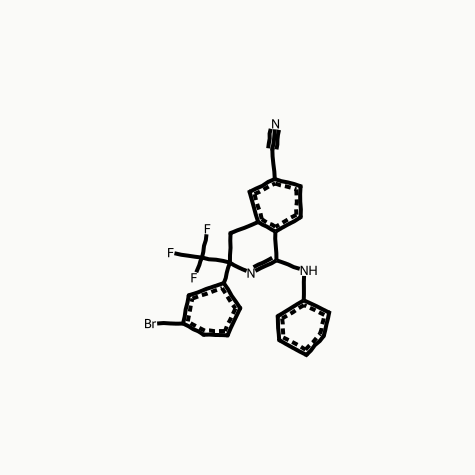 N#Cc1ccc2c(c1)CC(c1cccc(Br)c1)(C(F)(F)F)N=C2Nc1ccccc1